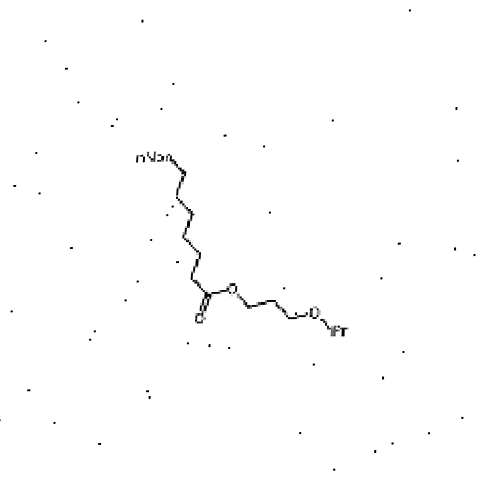 CCCCCCCCCCCCCCCC(=O)OCCCOC(C)C